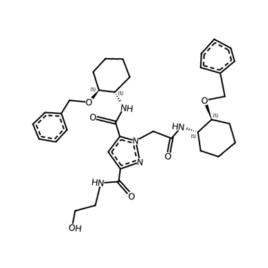 O=C(Cn1nc(C(=O)NCCO)cc1C(=O)N[C@H]1CCCC[C@@H]1OCc1ccccc1)N[C@H]1CCCC[C@@H]1OCc1ccccc1